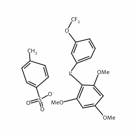 COc1cc(OC)c([I+]c2cccc(OC(F)(F)F)c2)c(OC)c1.Cc1ccc(S(=O)(=O)[O-])cc1